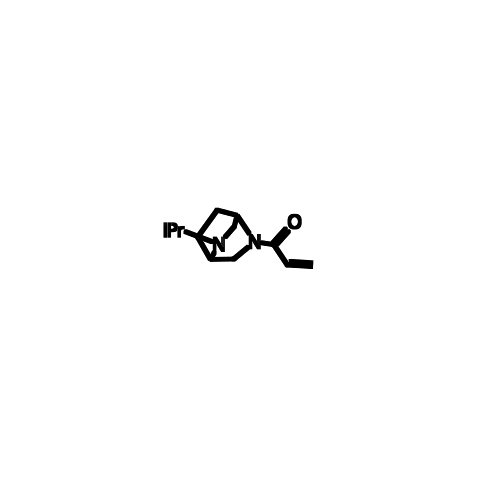 C=CC(=O)N1CC2CCC1CN2C(C)C